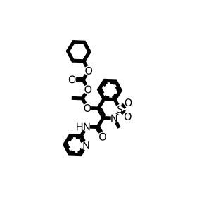 CC(OC(=O)OC1CCCCC1)OC1=C(C(=O)Nc2ccccn2)N(C)S(=O)(=O)c2ccccc21